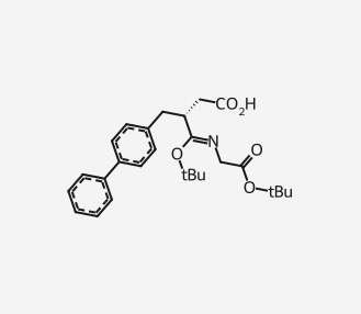 CC(C)(C)OC(=O)CN=C(OC(C)(C)C)[C@@H](CC(=O)O)Cc1ccc(-c2ccccc2)cc1